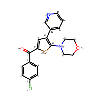 O=C(c1ccc(Cl)cc1)c1cc(-c2cccnc2)c(N2CCOCC2)s1